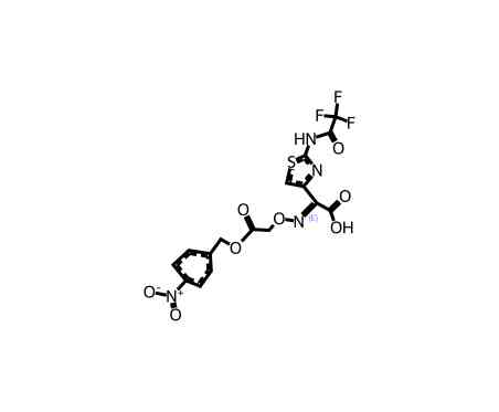 O=C(CO/N=C(/C(=O)O)c1csc(NC(=O)C(F)(F)F)n1)OCc1ccc([N+](=O)[O-])cc1